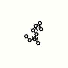 c1ccc(-c2cccc(-c3cc(-c4ccccc4)nc(-c4cccc(-c5cccc6c5sc5c6ccc6c7ccccc7n(-c7ccccc7)c65)c4)n3)c2)cc1